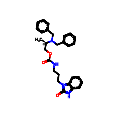 C[C@@H](COC(=O)NCCCn1c(=O)[nH]c2ccccc21)N(Cc1ccccc1)Cc1ccccc1